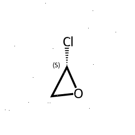 Cl[C@H]1CO1